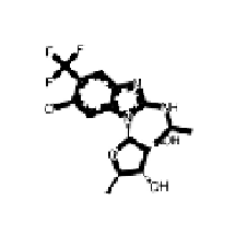 CC(C)Nc1nc2cc(C(F)(F)F)c(Cl)cc2n1[C@@H]1O[C@H](C)[C@@H](O)[C@H]1O